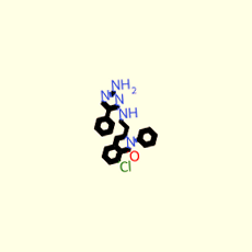 Nc1ncc(-c2ccccc2)c(NCCc2cc3cccc(Cl)c3c(=O)n2-c2ccccc2)n1